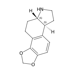 c1cc2c(c3c1OCO3)CC[C@@H]1NCC[C@@H]21